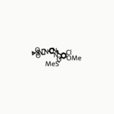 COc1cc(OCSC)c(-c2cn3ccc(N4CCN(S(=O)(=O)C5CC5)CC4)cc3n2)cc1Cl